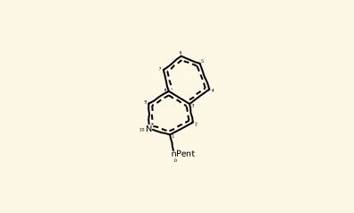 CCCCCc1cc2ccccc2cn1